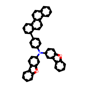 c1ccc2c(c1)ccc1c3cccc(-c4ccc(N(c5ccc6c(c5)oc5ccccc56)c5ccc6oc7ccccc7c6c5)cc4)c3ccc21